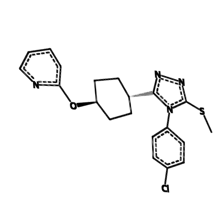 CSc1nnc([C@H]2CC[C@H](Oc3ccccn3)CC2)n1-c1ccc(Cl)cc1